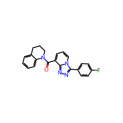 O=C(c1cccn2c(-c3ccc(F)cc3)nnc12)N1CCCc2ccccc21